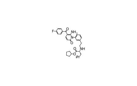 CC(C)C[C@H](NCCc1cccc(-n2c(N)c(C(=O)c3ccc(F)cc3)ccc2=O)c1)C(=O)OC1CCCC1